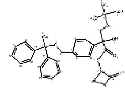 CC(C)(C)[Si](C)(C)OCC(O)(C(=O)SN1CCC1=O)c1ccc(CO[Si](c2ccccc2)(c2ccccc2)C(C)(C)C)cc1